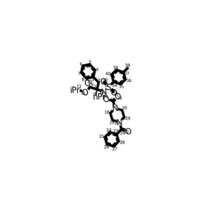 CCC[C@](Cc1ccccc1)(C(=O)OC(C)C)N(OC(=O)N1CCN(C(=O)c2ccccc2)CC1)S(=O)(=O)c1ccc(C)cc1